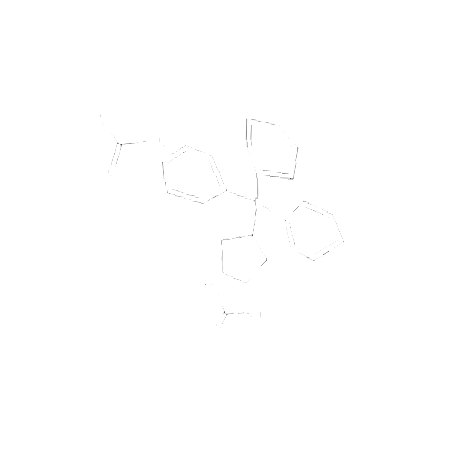 CC(=O)O.CC(=O)[O-].c1ccc([P+](c2ccccc2)(c2ccccc2)C2CCCC2)cc1